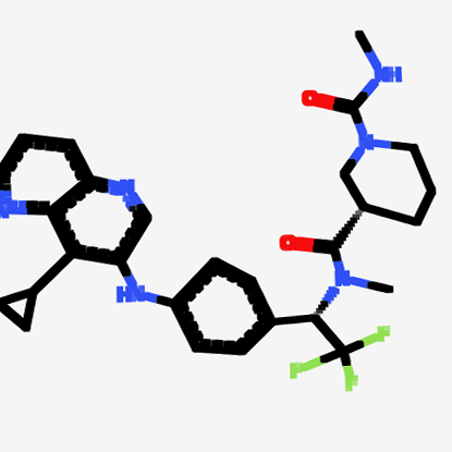 CNC(=O)N1CCC[C@H](C(=O)N(C)[C@@H](c2ccc(Nc3cnc4cccnc4c3C3CC3)cc2)C(F)(F)F)C1